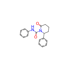 O=C1CCCC(c2ccccc2)N1C(=O)Nc1ccccc1